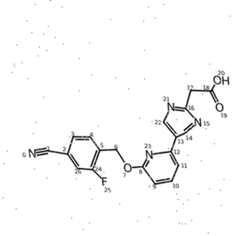 N#Cc1ccc(COc2cccc(-c3cnc(CC(=O)O)nc3)n2)c(F)c1